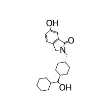 O=C1c2cc(O)ccc2CN1C[C@H]1CC[C@H](C(O)C2CCCCC2)CC1